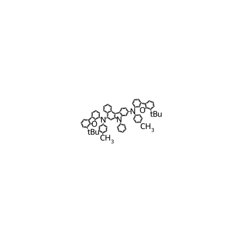 Cc1ccc(N(c2ccc3c4c5ccccc5c(N(c5ccc(C)cc5)c5cccc6c5oc5c(C(C)(C)C)cccc56)cc4n(-c4ccccc4)c3c2)c2cccc3c2oc2c(C(C)(C)C)cccc23)cc1